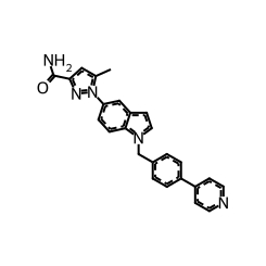 Cc1cc(C(N)=O)nn1-c1ccc2c(ccn2Cc2ccc(-c3ccncc3)cc2)c1